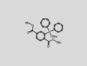 COS(c1ccccc1)(c1ccccc1)c1cc(C(=O)OC(C)(C)C)ccc1C(=O)OC(C)(C)C